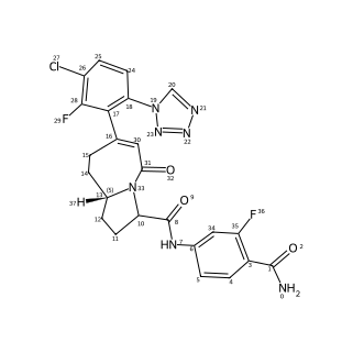 NC(=O)c1ccc(NC(=O)C2CC[C@@H]3CCC(c4c(-n5cnnn5)ccc(Cl)c4F)=CC(=O)N23)cc1F